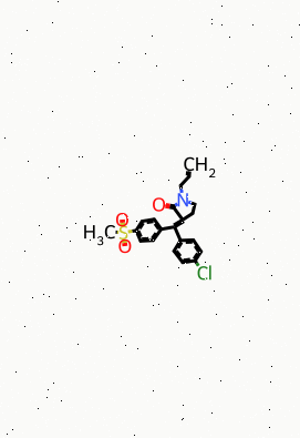 C=CCN1CC/C(=C(\c2ccc(Cl)cc2)c2ccc(S(C)(=O)=O)cc2)C1=O